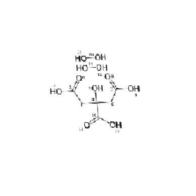 O=C(O)CC(O)(CC(=O)O)C(=O)O.OO.OO